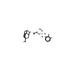 Cc1c(Cl)cccc1S(=O)(=O)N1CCOC(C(=O)NC2C3CC4CC2CC(C(N)=O)(C4)C3)C1